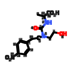 C[C@H](NC(=O)N(CCO)CCc1ccc([N+](=O)[O-])cc1)C(=O)O